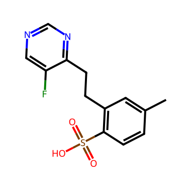 Cc1ccc(S(=O)(=O)O)c(CCc2ncncc2F)c1